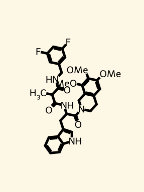 COc1cc2c(c(OC)c1OC)CN(C(=O)C(Cc1c[nH]c3ccccc13)NC(=O)C(C)C(=O)NCc1cc(F)cc(F)c1)CC2